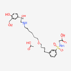 CC(=O)O.O=C(O)CNS(=O)(=O)c1cccc(CCCCOCCCCCCNC[C@H](O)c2ccc(O)c(CO)c2)c1